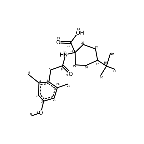 COc1cc(C)c(CC(=O)NC2(C(=O)O)CCC(C(C)(C)C)CC2)c(C)c1